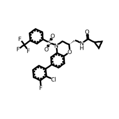 O=C(NC[C@H]1CN(S(=O)(=O)c2cccc(C(F)(F)F)c2)c2cc(-c3cccc(F)c3Cl)ccc2O1)C1CC1